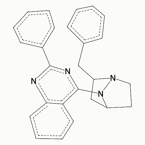 c1ccc(CC2CC3CCN2N3c2nc(-c3ccccc3)nc3ccccc23)cc1